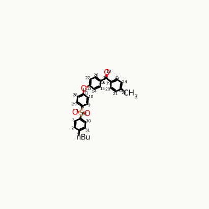 CCCCc1ccc(S(=O)(=O)c2ccc(Oc3ccc(C(=O)c4ccc(C)cc4)cc3)cc2)cc1